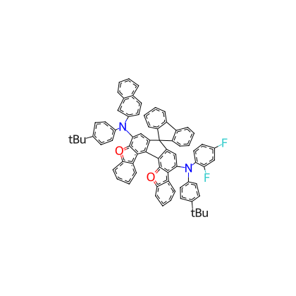 CC(C)(C)c1ccc(N(c2ccc3ccccc3c2)c2cc3c(c4c2oc2ccccc24)-c2c(cc(N(c4ccc(C(C)(C)C)cc4)c4ccc(F)cc4F)c4c2oc2ccccc24)C32c3ccccc3-c3ccccc32)cc1